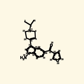 CC(C)N1CC=C(c2cn(N)c3ccc(C(=O)c4ccoc4)cc23)CC1